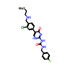 CSCCNCc1ccc(-c2c[nH]c(NC(=O)NCc3ccc(F)cc3)nc2=O)cc1Cl